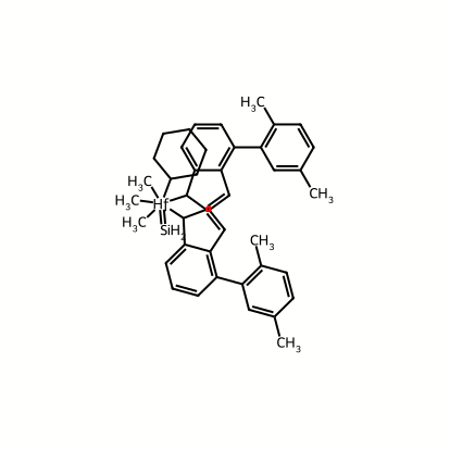 Cc1ccc(C)c(-c2cccc3c2C=C[CH]3[Hf]([CH3])([CH3])([CH3])(=[SiH2])([CH]2CCCCC2)[CH]2C=Cc3c(-c4cc(C)ccc4C)cccc32)c1